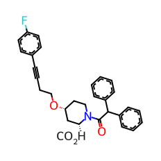 O=C(O)[C@@H]1C[C@H](OCCC#Cc2ccc(F)cc2)CCN1C(=O)C(c1ccccc1)c1ccccc1